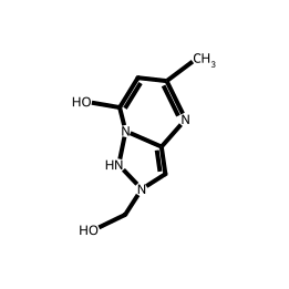 CC1=NC2=CN(CO)NN2C(O)=C1